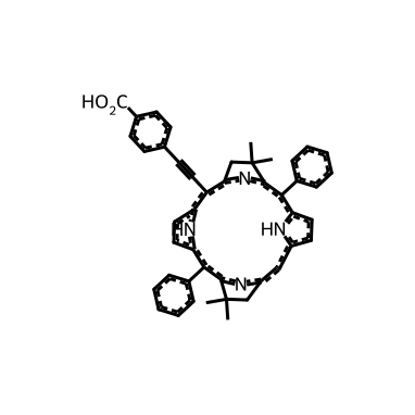 CC1(C)Cc2nc1c(-c1ccccc1)c1ccc(cc3nc(c(-c4ccccc4)c4ccc([nH]4)c2C#Cc2ccc(C(=O)O)cc2)C(C)(C)C3)[nH]1